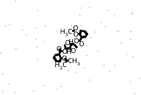 C=C(C)Oc1ccccc1C(=O)O[C@@H]1CO[C@@H]2C(OC(=O)c3ccccc3OC(C)=O)CO[C@@H]21